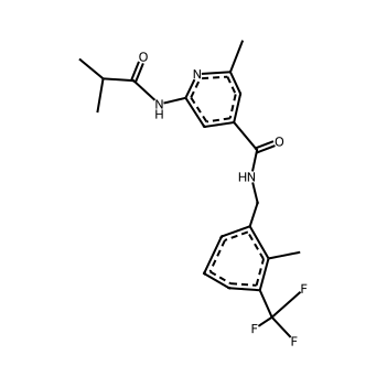 Cc1cc(C(=O)NCc2cccc(C(F)(F)F)c2C)cc(NC(=O)C(C)C)n1